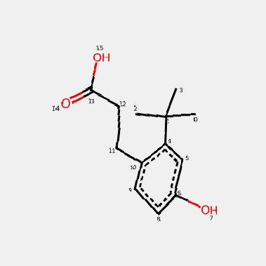 CC(C)(C)c1cc(O)ccc1CCC(=O)O